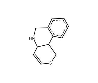 C1=CC2NCc3ccccc3C2CS1